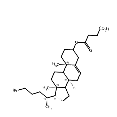 CC(C)CCC[C@@H](C)[C@H]1CCC2[C@@H]3CC=C4CC(OC(=O)CCC(=O)O)CC[C@]4(C)C3CC[C@@]21C